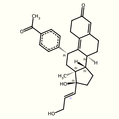 CC(=O)c1ccc([C@H]2C[C@@]3(C)[C@@H](CC[C@]3(O)/C=C/CO)[C@@H]3CCC4=CC(=O)CCC4=C32)cc1